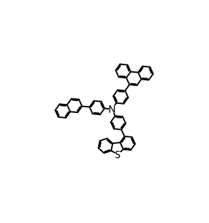 c1ccc2cc(-c3ccc(N(c4ccc(-c5cc6ccccc6c6ccccc56)cc4)c4ccc(-c5cccc6sc7ccccc7c56)cc4)cc3)ccc2c1